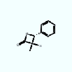 CCC1(C)C(=O)O[C@@H]1c1ccccc1